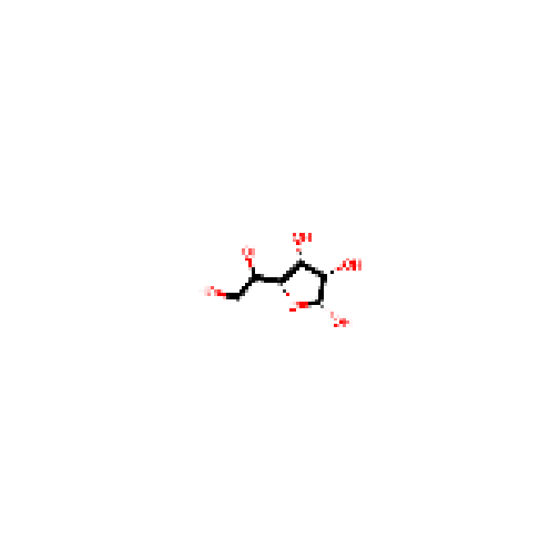 OC[C@@H](O)[C@H]1O[C@@H](O)[C@@H](O)[C@H]1O